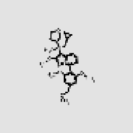 COCc1cc(OC)c(-c2cccc3c([N+](C)(CC4CC4)C4CCOC4)c(OC)nn23)c(OC)c1